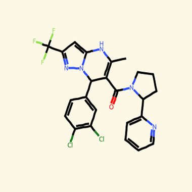 CC1=C(C(=O)N2CCCC2c2ccccn2)C(c2ccc(Cl)c(Cl)c2)n2nc(C(F)(F)F)cc2N1